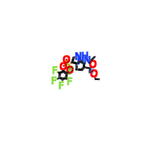 CCO/C=C/c1ccc2c(S(=O)(=O)Oc3c(F)c(F)c(F)c(F)c3F)c[nH]c2c1NC(C)=O